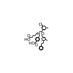 CC1C=C(C(CN(CCCCC(=O)O)Cc2ccc(C(=O)O)cc2)OCC2=CC(C)C(CCc3ccccc3)S2)C=C(Cl)C1